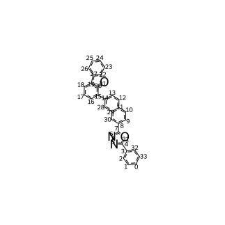 c1ccc(-c2nnc(-c3ccc4ccc(-c5cccc6c5oc5ccccc56)cc4c3)o2)cc1